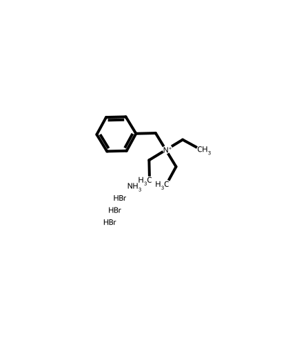 Br.Br.Br.CC[N+](CC)(CC)Cc1ccccc1.N